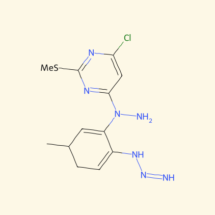 CSc1nc(Cl)cc(N(N)C2=CC(C)CC=C2NN=N)n1